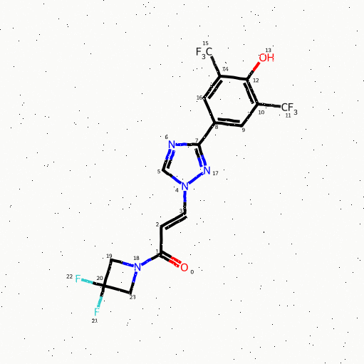 O=C(C=Cn1cnc(-c2cc(C(F)(F)F)c(O)c(C(F)(F)F)c2)n1)N1CC(F)(F)C1